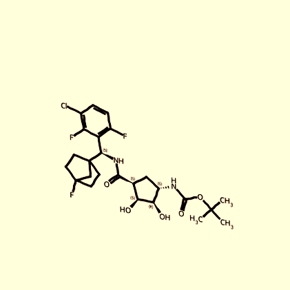 CC(C)(C)OC(=O)N[C@H]1C[C@H](C(=O)N[C@H](c2c(F)ccc(Cl)c2F)C23CCC(F)(CC2)C3)[C@H](O)[C@@H]1O